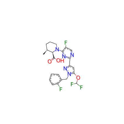 C[C@H]1CCCN(c2nc(-c3cc(OC(F)F)n(Cc4ccccc4F)n3)ncc2F)[C@H]1C(=O)O